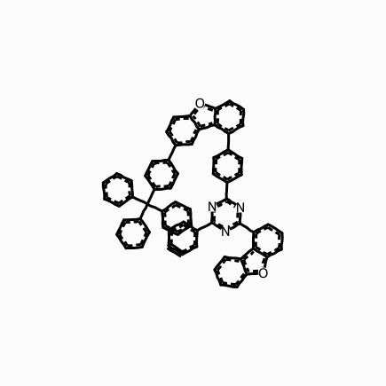 c1ccc(-c2nc(-c3ccc(-c4cccc5oc6ccc(-c7ccc(C(c8ccccc8)(c8ccccc8)c8ccccc8)cc7)cc6c45)cc3)nc(-c3cccc4oc5ccccc5c34)n2)cc#1